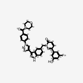 O=C(c1ccc(-n2cc(-c3n[nH]c4ccc(Cn5nc(-c6cc(O)cc(F)c6)ccc5=O)cc34)nn2)cc1)N1CCOCC1